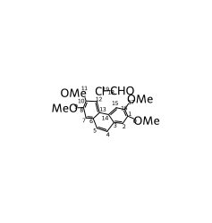 COc1cc2ccc3cc(OC)c(OC)cc3c2cc1OC.O=CCl